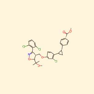 COC(=O)c1ccc(C2CC2c2ccc(OCC3C(c4c(Cl)cccc4Cl)=NOC3C(C)(C)OC)cc2Cl)cc1